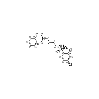 O=S(=O)(NCCCCN1CCc2ccccc2C1)c1ccc(Cl)cc1Cl